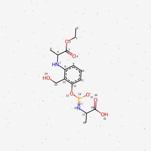 CCOC(=O)C(C)Nc1cccc(O/[P+]([O-])=N/C(C)C(=O)O)c1CO